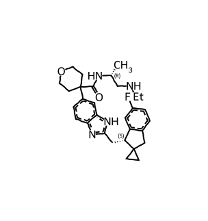 CCNC[C@@H](C)NC(=O)C1(c2ccc3nc(C[C@@H]4c5cc(F)ccc5CC45CC5)[nH]c3c2)CCOCC1